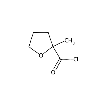 CC1(C(=O)Cl)CCCO1